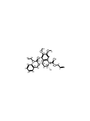 C=CCOC(=O)N1c2cc(OC)c(OC)cc2[C@@H](N(Cc2ccccc2)C(=O)OCC)C[C@H]1C